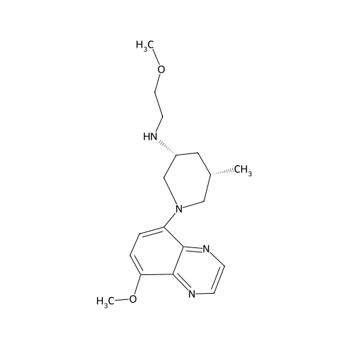 COCCN[C@@H]1C[C@H](C)CN(c2ccc(OC)c3nccnc23)C1